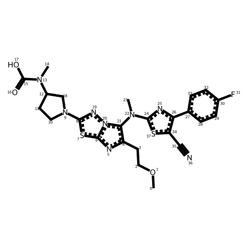 COCCc1nc2sc(N3CCC(N(C)C(=O)O)C3)nn2c1N(C)c1nc(-c2ccc(F)cc2)c(C#N)s1